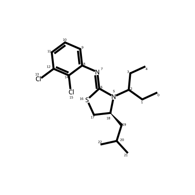 CCC(CC)N1C(=Nc2cccc(Cl)c2Cl)SC[C@@H]1CC(C)C